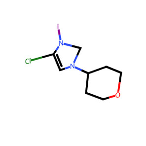 ClC1=CN(C2CCOCC2)CN1I